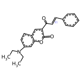 CCN(CC)c1ccc2cc(C(=O)/C=C/c3ccccc3)c(=O)oc2c1